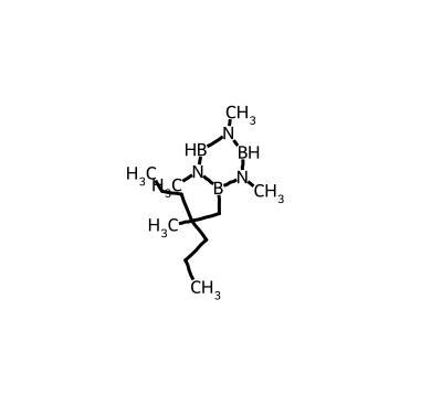 CCCC(C)(CCC)CB1N(C)BN(C)BN1C